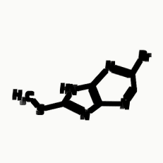 CSc1nc2ncc(Br)nc2[nH]1